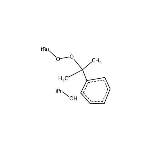 CC(C)(C)OOC(C)(C)c1ccccc1.CC(C)O